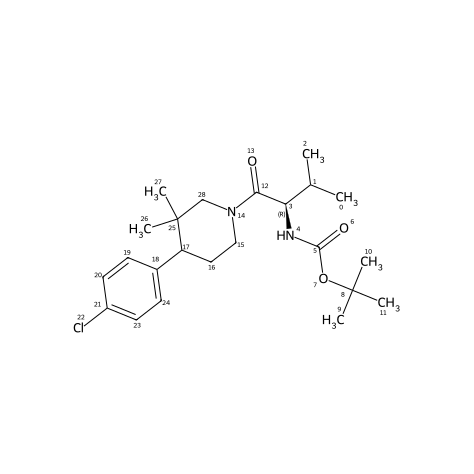 CC(C)[C@@H](NC(=O)OC(C)(C)C)C(=O)N1CCC(c2ccc(Cl)cc2)C(C)(C)C1